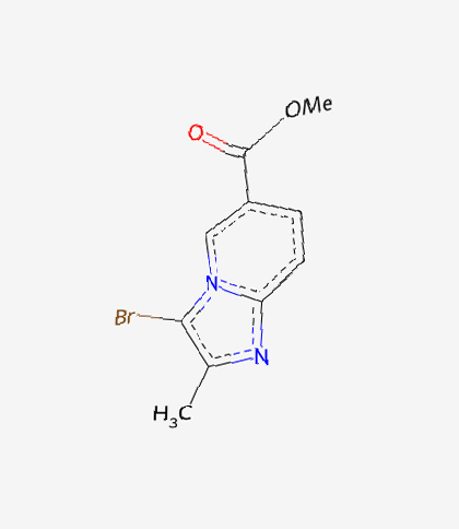 COC(=O)c1ccc2nc(C)c(Br)n2c1